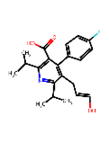 CC(C)c1nc(C(C)C)c(C(=O)O)c(-c2ccc(F)cc2)c1C/C=C/O